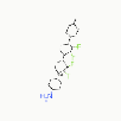 CC1CCC(C2CCC(C3CC[C@@H](C4CCC(N)CC4)C(F)C3F)C(F)C2F)CC1